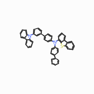 c1ccc(-c2ccc(N(c3ccc(-c4cccc(-n5c6ccccc6c6ccccc65)c4)cc3)c3cccc4c3sc3ccccc34)cc2)cc1